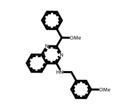 COc1cccc(CNc2nc(C(OC)c3ccccc3)nc3ccccc23)c1